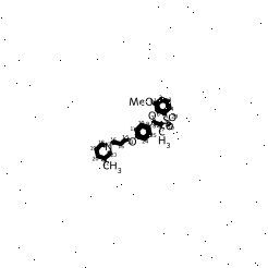 COc1cccc2c1O[C@@H](c1ccc(OCCCN3CCC[C@H](C)C3)cc1)[C@H](C)S2(=O)=O